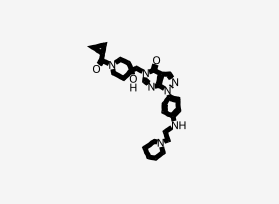 O=C(C1CC1)N1CCC(O)(Cn2cnc3c(cnn3-c3ccc(NCCN4CCCCC4)cc3)c2=O)CC1